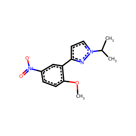 COc1ccc([N+](=O)[O-])cc1-c1ccn(C(C)C)n1